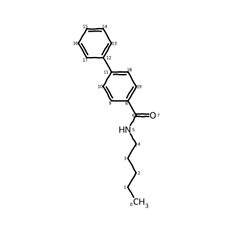 CCCC[CH]NC(=O)c1ccc(-c2ccccc2)cc1